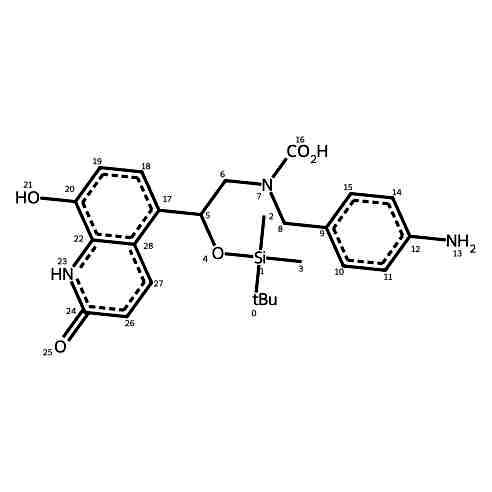 CC(C)(C)[Si](C)(C)OC(CN(Cc1ccc(N)cc1)C(=O)O)c1ccc(O)c2[nH]c(=O)ccc12